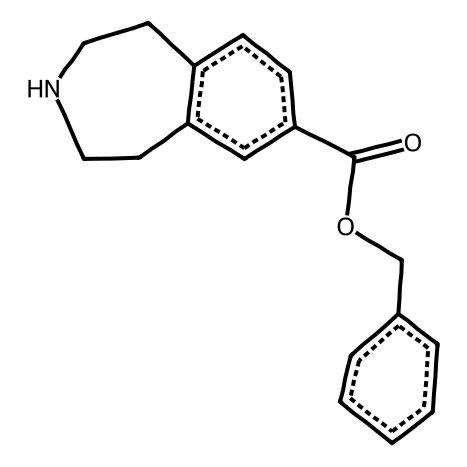 O=C(OCc1ccccc1)c1ccc2c(c1)CCNCC2